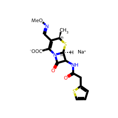 CON=CC1=C(C(=O)[O-])N2C(=O)C(NC(=O)Cc3cccs3)[C@@H]2S[C@@H]1C.[Na+]